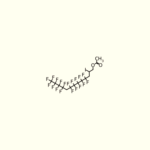 CC(=O)OCC(I)CC(F)(F)C(F)(F)C(F)(F)C(F)(F)C(F)(F)CC(F)(F)C(F)(F)C(F)(F)C(F)(F)F